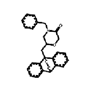 O=C1COC(CC23CCC(c4ccccc42)c2ccccc23)CN1Cc1ccccc1